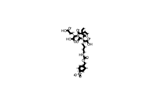 CCC1(CC)C(=O)N([C@@H](CCCCNC(=O)OCc2ccc([N+](=O)[O-])cc2)C(=O)O)C(=O)N([C@@H](CCC(=O)O)C(=O)O)C1=O